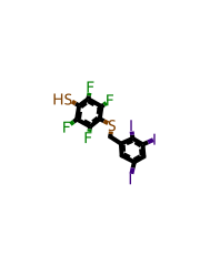 Fc1c(F)c(SCc2cc(I)cc(I)c2I)c(F)c(F)c1S